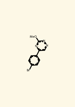 COc1nncc(-c2ccc(Br)cc2)n1